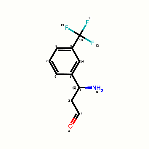 N[C@@H](CC=O)c1cccc(C(F)(F)F)c1